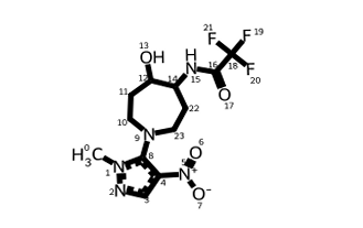 Cn1ncc([N+](=O)[O-])c1N1CCC(O)C(NC(=O)C(F)(F)F)CC1